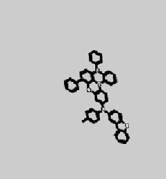 Cc1ccc(N(c2ccc3c(c2)Oc2c(-c4ccccc4)ccc4c2B3c2ccccc2N4c2ccccc2)c2ccc3oc4ccccc4c3c2)cc1